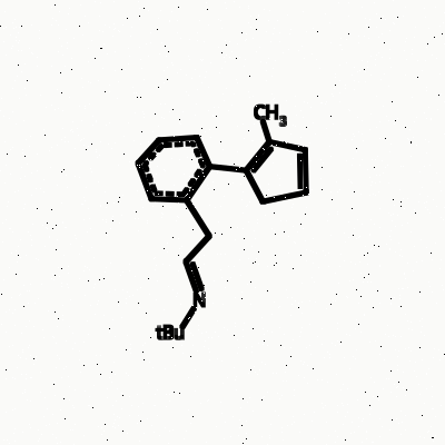 CC1=C(c2ccccc2CC=NC(C)(C)C)CC=C1